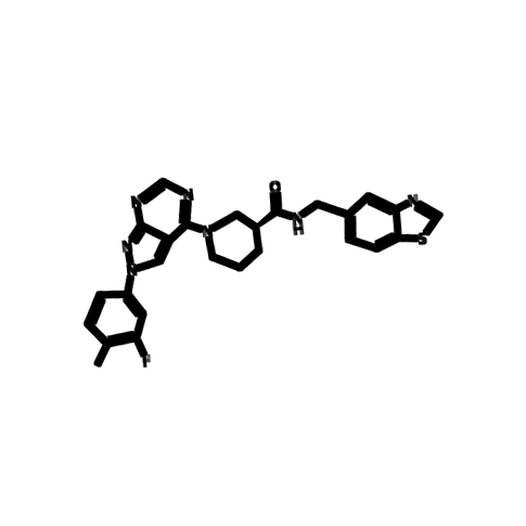 Cc1ccc(-n2cc3c(N4CCC[C@H](C(=O)NCc5ccc6scnc6c5)C4)ncnc3n2)cc1F